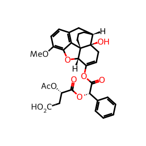 COc1ccc2c3c1O[C@H]1C(OC(=O)[C@@H](OC(=O)[C@H](CC(=O)O)OC(C)=O)c4ccccc4)=CC[C@@]4(O)[C@H](CCC[C@]314)C2